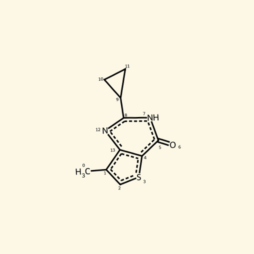 Cc1csc2c(=O)[nH]c(C3CC3)nc12